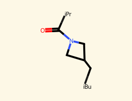 CCC(C)CC1CN(C(=O)C(C)C)C1